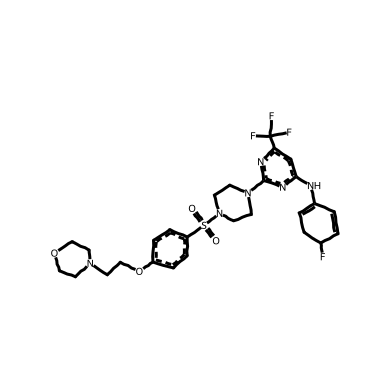 O=S(=O)(c1ccc(OCCN2CCOCC2)cc1)N1CCN(c2nc(NC3=CCC(F)C=C3)cc(C(F)(F)F)n2)CC1